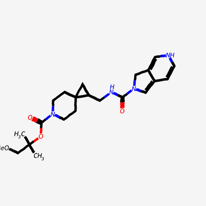 COCC(C)(C)OC(=O)N1CCC2(CC1)CC2CNC(=O)N1C=C2C=CNC=C2C1